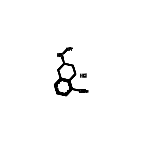 CCCN[C@H]1CCc2c(cccc2OC)C1.Cl